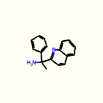 CC(N)(c1ccccc1)c1ccc2ccccc2n1